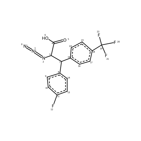 [N-]=[N+]=NC(C(=O)O)C(c1ccc(F)cc1)c1ccc(C(F)(F)F)cc1